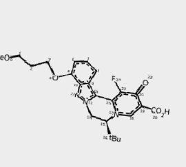 COCCCOc1cccc2c3n(nc12)C[C@H](C(C)(C)C)n1cc(C(=O)O)c(=O)c(F)c1-3